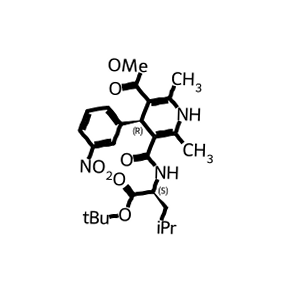 COC(=O)C1=C(C)NC(C)=C(C(=O)N[C@@H](CC(C)C)C(=O)OC(C)(C)C)[C@H]1c1cccc([N+](=O)[O-])c1